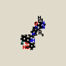 Cc1ncnc(C)c1C(=O)N1CC2CN(CC[C@H](NC(=O)C3CCCC3O)c3cccc(F)c3)CC2C1